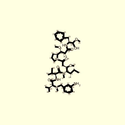 CC[C@H](C)[C@@H]([C@@H](CC(=O)N1CCC[C@H]1[C@H](OC)[C@@H](C)C(=O)N[C@@H](Cc1ccccc1)C(O)OC)OC)N(C)C(=O)[C@@H](NC(=O)[C@H](C(C)C)N(C)Cc1cccc(N)c1)C(C)C